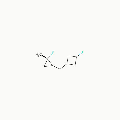 C[C@]1(F)CC1CC1CC(F)C1